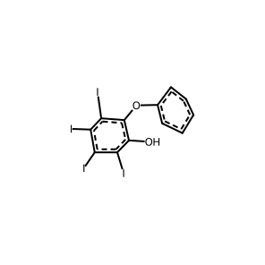 Oc1c(I)c(I)c(I)c(I)c1Oc1ccccc1